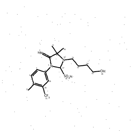 [CH2]c1ccc(N2C(=N)C(C)(C)N(CCCCO)C2S(=O)(=O)O)cc1C(F)(F)F